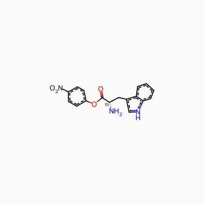 N[C@@H](Cc1c[nH]c2ccccc12)C(=O)Oc1ccc([N+](=O)[O-])cc1